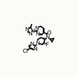 Cc1ncnn1C1=NCC=C(C(=O)N(C2CC2)[C@@H]2CCN(c3ncc(Cl)cn3)C[C@@H]2F)C=N1